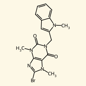 Cn1c(Cn2c(=O)c3c(nc(Br)n3C)n(C)c2=O)cc2ccccc21